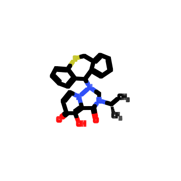 C[C@@H](N1CN(C2c3ccccc3CSc3ccccc32)n2ccc(=O)c(O)c2C1=O)C(F)(F)F